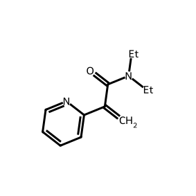 C=C(C(=O)N(CC)CC)c1ccccn1